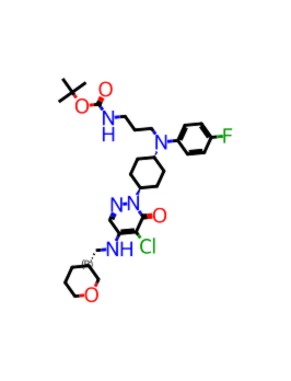 CC(C)(C)OC(=O)NCCCN(c1ccc(F)cc1)[C@H]1CC[C@H](n2ncc(NC[C@H]3CCCOC3)c(Cl)c2=O)CC1